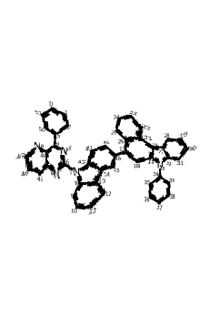 c1ccc(-c2nc(-n3c4ccccc4c4cc(-c5cc6c(c7ccccc57)c5ccccc5n6-c5ccccc5)ccc43)nc3cccnc23)cc1